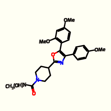 COc1ccc(-c2nc(C3CCN(C(=O)N(C)O)CC3)oc2-c2ccc(OC)cc2OC)cc1